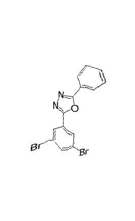 Brc1cc(Br)cc(-c2nnc(-c3ccccc3)o2)c1